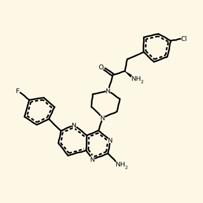 Nc1nc(N2CCN(C(=O)[C@H](N)Cc3ccc(Cl)cc3)CC2)c2nc(-c3ccc(F)cc3)ccc2n1